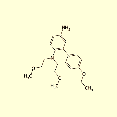 CCOc1ccc(-c2cc(N)ccc2N(CCOC)CCOC)cc1